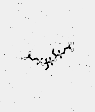 CCC(O[Si](C)(C)C(C)(CC)O[Si](C)(C)CCC(=O)O)[Si](C)(C)CCC(=O)O